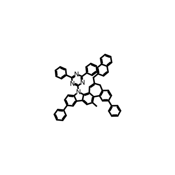 Cc1cc2c3cc(-c4ccccc4)ccc3n(-c3nc(-c4ccccc4)nc(-c4ccccc4)n3)c2c2c1-c1cc(-c3ccccc3)ccc1CC(Cc1ccc3ccccc3c1)=C2